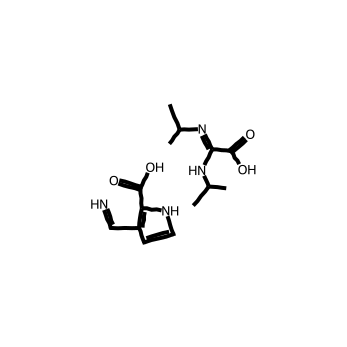 CC(C)N=C(NC(C)C)C(=O)O.N=Cc1cc[nH]c1C(=O)O